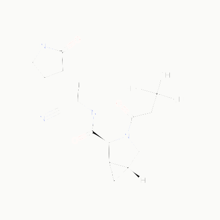 CC(C)(C)CC(=O)N1C[C@@H]2CC2[C@H]1C(=O)N[C@H](C#N)C[C@@H]1CCNC1=O